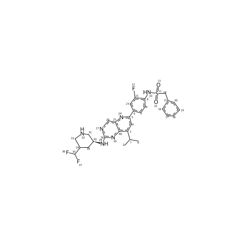 CC(C)c1cc(-c2ccc(NS(=O)(=O)Cc3ccccc3)c(F)c2)nc2cnc(N[C@@H]3CNCC(C(F)F)C3)nc12